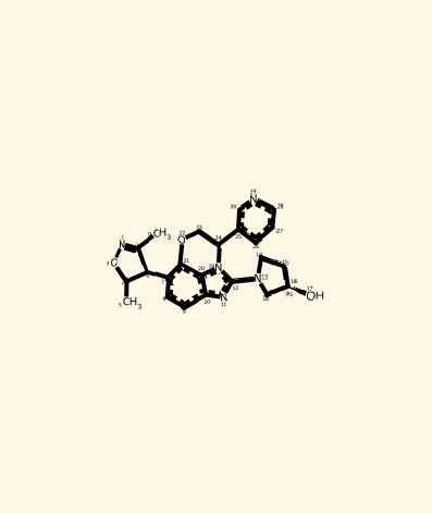 CC1=NOC(C)C1c1ccc2nc(N3CC[C@@H](O)C3)n3c2c1OCC3c1cccnc1